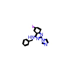 Ic1ccc2nc(-n3ccnc3)nc(NCc3ccccc3)c2c1